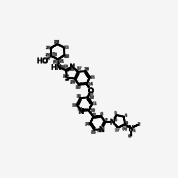 CN(C)[C@@H]1CCN(c2cc(-c3cc(Oc4ccc5nc(N[C@@H]6CCCC[C@H]6O)sc5c4)ccn3)ccn2)C1